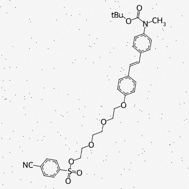 CN(C(=O)OC(C)(C)C)c1ccc(C=Cc2ccc(OCCOCCOCCOS(=O)(=O)c3ccc(C#N)cc3)cc2)cc1